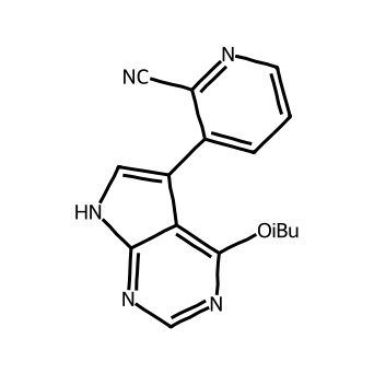 CC(C)COc1ncnc2[nH]cc(-c3cccnc3C#N)c12